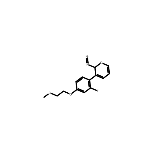 COCCOc1ccc(C2=CC=COC2N=[N])c(F)c1